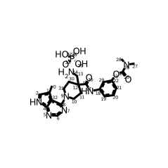 Cc1c[nH]c2ncnc(N3CCC(CN)(C(=O)Nc4cccc(OC(=O)N(C)C)c4)CC3)c12.O=P(O)(O)O